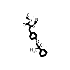 CCOC(=O)C(Cc1ccc(OCC(C)(C)c2ccccc2)cc1)SC#N